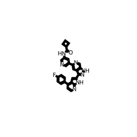 O=C(Nc1cncc(-c2cc3c(-c4cc5c(-c6ccc(F)cc6)ccnc5[nH]4)n[nH]c3cn2)c1)C1CCC1